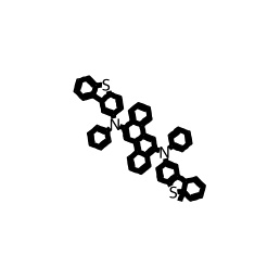 CC12C=CC=CC1c1cc(N(c3ccccc3)c3cc4c5ccccc5c(N(C5=CC6c7ccccc7SC6C=C5)c5ccccc5)cc4c4ccccc34)ccc1S2